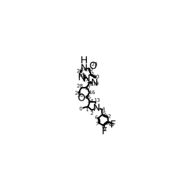 CC1CN(Cc2ccc(F)c(F)c2)CC1C1CC(c2ncc3c(=O)[nH]cnn23)CCO1